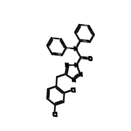 O=C(N(c1ccccc1)c1ccccc1)n1nnc(Cc2ccc(Cl)cc2Cl)n1